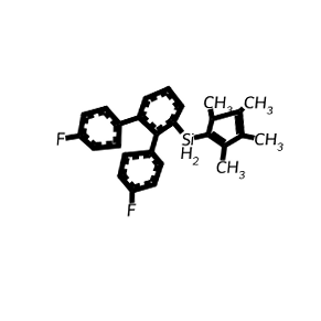 CC1=C(C)C(C)C([SiH2]c2cccc(-c3ccc(F)cc3)c2-c2ccc(F)cc2)=C1C